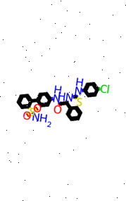 NS(=O)(=O)c1ccccc1-c1ccc(NC(=O)[C@@H](NC(=S)Nc2ccc(Cl)cc2)c2ccccc2)cc1